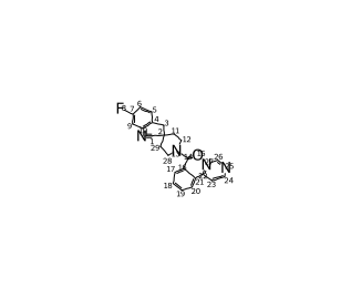 N#CC1(Cc2ccc(F)cc2)CCN(C(=O)c2ccccc2-c2ccncn2)CC1